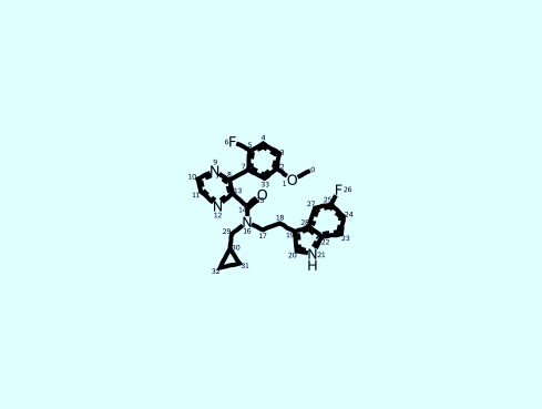 COc1ccc(F)c(-c2nccnc2C(=O)N(CCc2c[nH]c3ccc(F)cc23)CC2CC2)c1